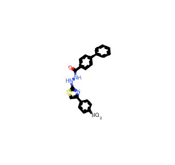 O=C(NNc1nc(-c2ccc([N+](=O)[O-])cc2)cs1)c1ccc(-c2ccccc2)cc1